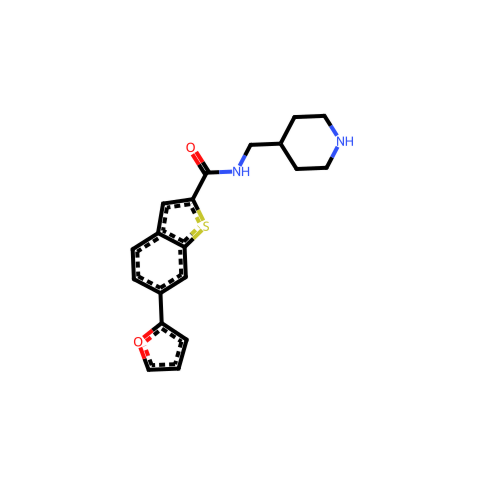 O=C(NCC1CCNCC1)c1cc2ccc(-c3ccco3)cc2s1